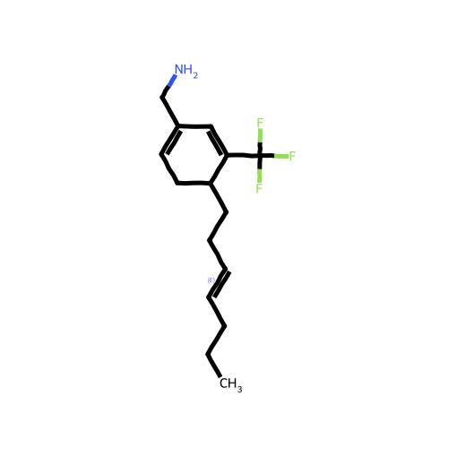 CCC/C=C/CCC1CC=C(CN)C=C1C(F)(F)F